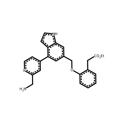 CCOC(=O)Cc1ccccc1OCc1cc(-c2ccnc(CN)c2)c2cc[nH]c2c1